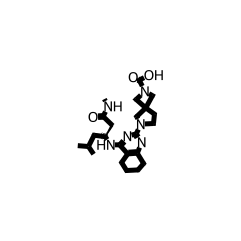 CNC(=O)C[C@H](CC(C)C)Nc1nc(N2CCC3(CN(C(=O)O)C3)C2)nc2c1CCCC2